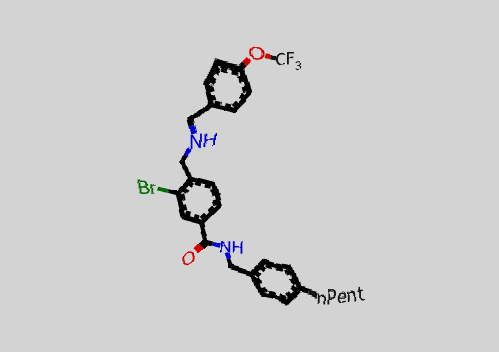 CCCCCc1ccc(CNC(=O)c2ccc(CNCc3ccc(OC(F)(F)F)cc3)c(Br)c2)cc1